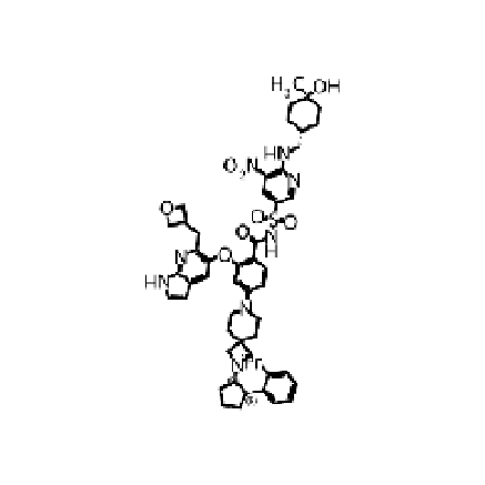 CC(C)c1ccccc1[C@H]1CCC[C@H]1N1CC2(CCN(c3ccc(C(=O)NS(=O)(=O)c4cnc(NC[C@H]5CC[C@](C)(O)CC5)c([N+](=O)[O-])c4)c(Oc4cc5cc[nH]c5nc4CC4COC4)c3)CC2)C1